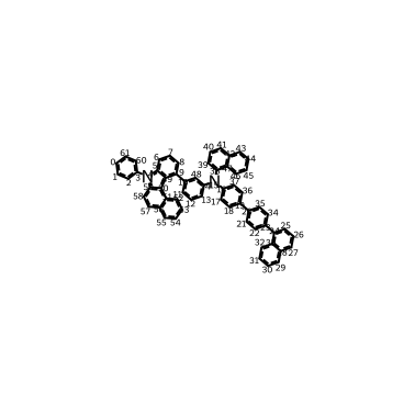 c1ccc(-n2c3cccc(-c4cccc(N(c5ccc(-c6ccc(-c7cccc8ccccc78)cc6)cc5)c5cccc6ccccc56)c4)c3c3c4ccccc4ccc32)cc1